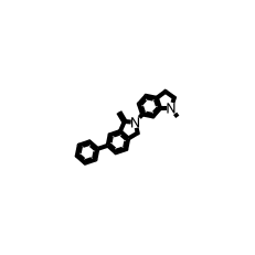 C=C1c2cc(-c3ccccc3)ccc2CN1c1ccc2c(c1)N(C)CC2